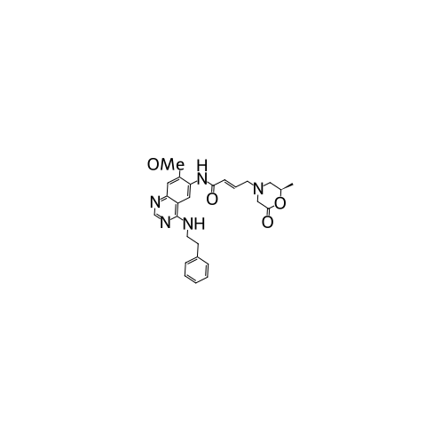 COc1cc2ncnc(NCCc3ccccc3)c2cc1NC(=O)C=CCN1CC(=O)O[C@H](C)C1